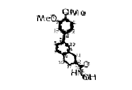 COc1ccc(-c2ccc3c(c2)CC(C(=O)NO)CC3)cc1OC